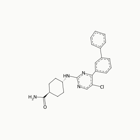 NC(=O)[C@H]1CC[C@H](Nc2ncc(Cl)c(-c3cccc(-c4ccccc4)c3)n2)CC1